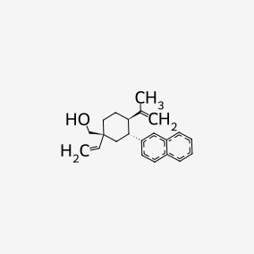 C=C[C@]1(CO)CC[C@@H](C(=C)C)[C@H](c2ccc3ccccc3c2)C1